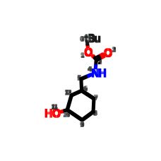 CC(C)(C)OC(=O)NCC1CCCC(O)C1